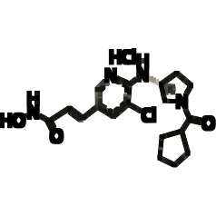 Cl.O=C(C=Cc1cnc(N[C@@H]2CCN(C(=O)C3CCCC3)C2)c(Cl)c1)NO